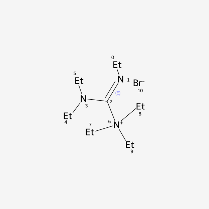 CC/N=C(\N(CC)CC)[N+](CC)(CC)CC.[Br-]